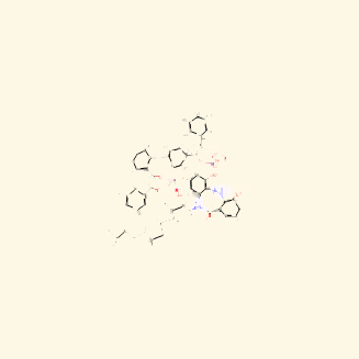 CC(C)=CCCC(C)=CCCC(C)=CCN1C(=O)c2cccc(O)c2Nc2c(OP(=O)(OCc3ccccc3)OCc3ccccc3)cc(OP(=O)(OCc3ccccc3)OCc3ccccc3)cc21